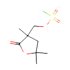 CC1(C)CC(C)(COS(=O)(=O)Cl)C(=O)O1